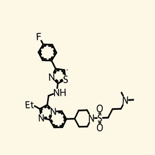 CCc1nc2ccc(C3CCN(S(=O)(=O)CCCN(C)C)CC3)cn2c1CNc1nc(-c2ccc(F)cc2)[c]s1